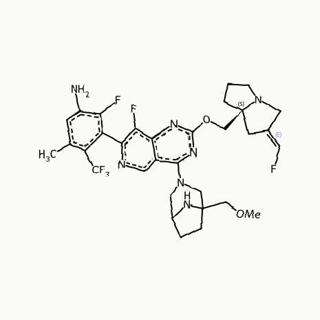 COCC12CCC(CN(c3nc(OC[C@@]45CCCN4C/C(=C/F)C5)nc4c(F)c(-c5c(F)c(N)cc(C)c5C(F)(F)F)ncc34)C1)N2